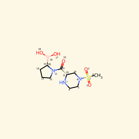 CS(=O)(=O)N1CCN[C@H](C(=O)N2CCC[C@H]2B(O)O)C1